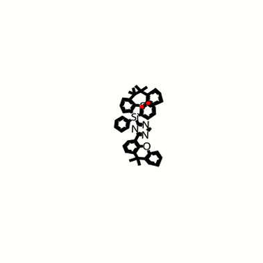 CC1(C)c2ccccc2Oc2c(-c3ncnc([Si](c4ccccc4)(c4ccccc4)c4cccc5c4Sc4ccccc4C(C)(C)C5(C)C)n3)cccc21